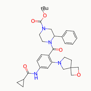 CC(C)(C)OC(=O)N1CCN(C(=O)c2ccc(NC(=O)C3CC3)cc2N2CCC3(COC3)C2)C(c2ccccc2)C1